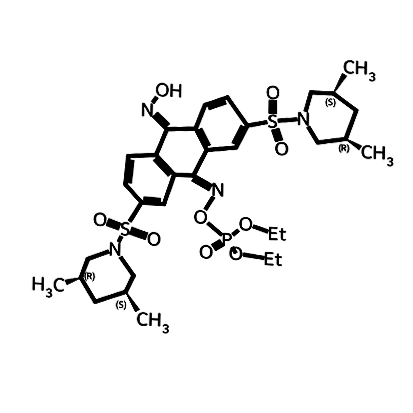 CCOP(=O)(OCC)ON=C1c2cc(S(=O)(=O)N3C[C@H](C)C[C@H](C)C3)ccc2C(=NO)c2ccc(S(=O)(=O)N3C[C@H](C)C[C@H](C)C3)cc21